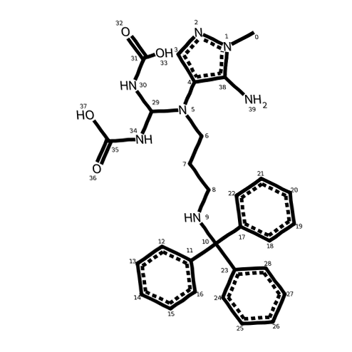 Cn1ncc(N(CCCNC(c2ccccc2)(c2ccccc2)c2ccccc2)C(NC(=O)O)NC(=O)O)c1N